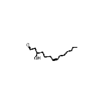 CCCCCC/C=C\CCCC(O)CC=O